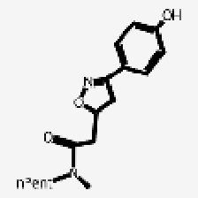 CCCCCN(C)C(=O)CC1CC(c2ccc(O)cc2)=NO1